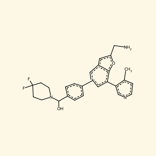 Cc1ccncc1-c1cc(-c2ccc(C(O)N3CCC(F)(F)CC3)cc2)cc2cc(CN)oc12